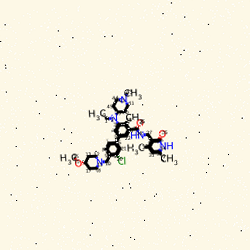 CCN(c1cc(-c2ccc(CN3CCC(OC)CC3)c(Cl)c2)cc(C(=O)NCc2c(C)cc(C)[nH]c2=O)c1C)C1CCN(C)CC1